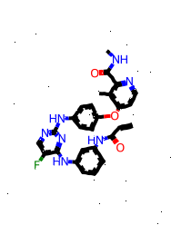 C=CC(=O)Nc1cccc(Nc2nc(Nc3ccc(Oc4ccnc(C(=O)NC)c4C)cc3)ncc2F)c1